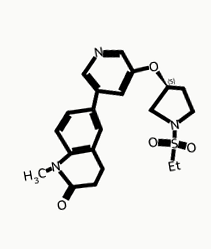 CCS(=O)(=O)N1CC[C@H](Oc2cncc(-c3ccc4c(c3)CCC(=O)N4C)c2)C1